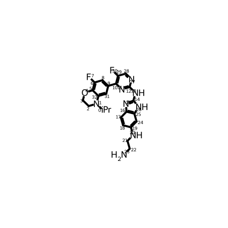 CC(C)N1CCOc2c(F)cc(-c3nc(Nc4nc5ccc(NCCN)cc5[nH]4)ncc3F)cc21